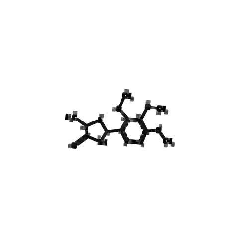 COc1ccc(C2NC(=O)C(C)S2)c(OC)c1OC